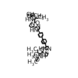 CCC(C)[C@H](NC(=O)OC)C(=O)N1CCC[C@H]1c1ncc(-c2ccc(C34CCC(c5cnc([C@@H]6CCCN6C(=O)[C@@H](NC(=O)OC)C(C)CC)[nH]5)(CC3)CC4)cc2)[nH]1